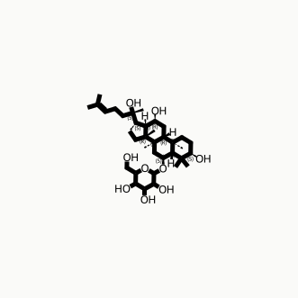 CC(C)=CCC[C@](C)(O)[C@H]1CC[C@]2(C)[C@@H]1[C@H](O)C[C@@H]1[C@@]3(C)CC[C@H](O)C(C)(C)[C@@H]3[C@@H](OC3OC(CO)C(O)C(O)C3O)C[C@]12C